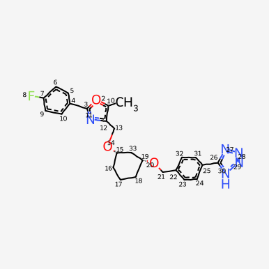 Cc1oc(-c2ccc(F)cc2)nc1CO[C@H]1CCC[C@@H](OCc2ccc(-c3nnn[nH]3)cc2)C1